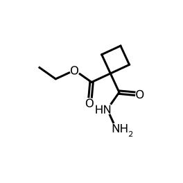 CCOC(=O)C1(C(=O)NN)CCC1